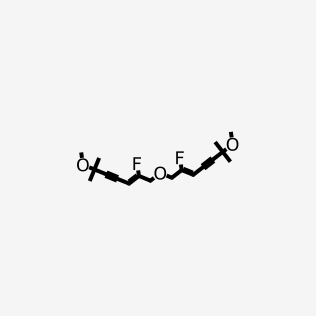 COC(C)(C)C#CC=C(F)COCC(F)=CC#CC(C)(C)OC